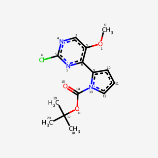 COc1cnc(Cl)nc1-c1cccn1C(=O)OC(C)(C)C